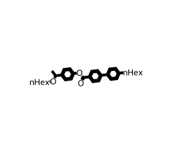 CCCCCCOC(C)c1ccc(OC(=O)c2ccc(-c3ccc(CCCCCC)cc3)cc2)cc1